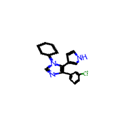 Clc1cccc(-c2ncn(C3CCCCC3)c2-c2cc[nH]c2)c1